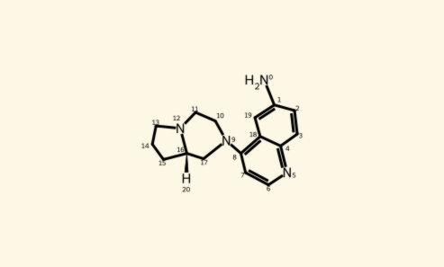 Nc1ccc2nccc(N3CCN4CCC[C@H]4C3)c2c1